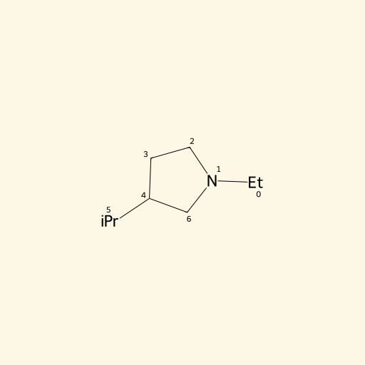 CCN1CCC(C(C)C)C1